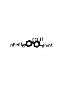 CCCCCOC1CCC(C(=O)O)(C2CCC(CCCCC)CC2)CC1